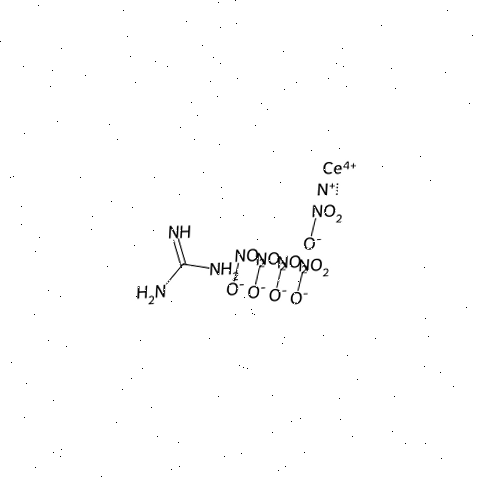 N=C(N)N.O=[N+]([O-])[O-].O=[N+]([O-])[O-].O=[N+]([O-])[O-].O=[N+]([O-])[O-].O=[N+]([O-])[O-].[Ce+4].[N+]